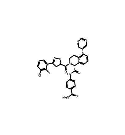 COC(=O)c1ccc(NC(=O)[C@H]2c3cccc(-c4cncnc4)c3CCN2C(=O)C2CC(c3cccc(Cl)c3F)=NO2)cc1